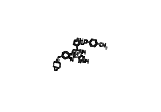 Cc1ccc(OCc2[nH]ccc2C(=O)Nc2c[nH]nc2-c2nc3cc(CN4CCOCC4)ccc3[nH]2)cc1